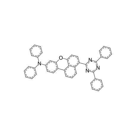 c1ccc(-c2nc(-c3ccccc3)nc(-c3ccc4c5c(cccc35)-c3ccc(N(c5ccccc5)c5ccccc5)cc3O4)n2)cc1